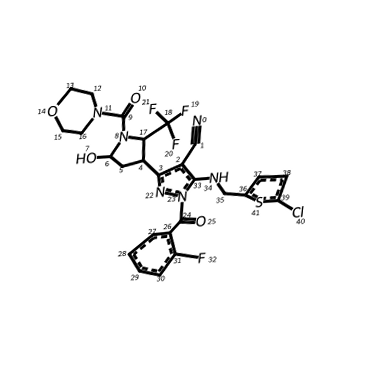 N#Cc1c(C2CC(O)N(C(=O)N3CCOCC3)C2C(F)(F)F)nn(C(=O)c2ccccc2F)c1NCc1ccc(Cl)s1